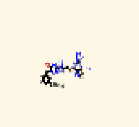 COc1cccc(Cc2n[nH]c(NCCSC(N=C(N)N)c3cscn3)nc2=O)c1